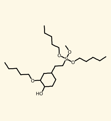 CCCCCOC1CC(CC[Si](OC)(OCCCCC)OCCCCC)CCC1O